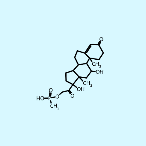 CC12CCC(=O)C=C1CCC1C2C(O)CC2(C)C1CCC2(O)C(=O)COP(C)(=O)O